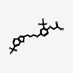 O=C(O)COc1ccc(SCCCc2cc3ccc(C(F)(F)F)cc3s2)cc1C(F)(F)F